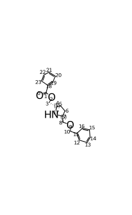 O=C(OC[C@@H]1CC[C@@H](COCc2ccccc2)N1)c1ccccc1